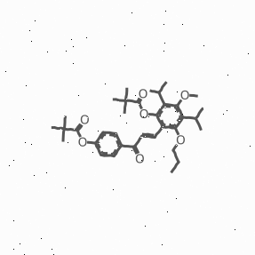 CCCOc1c(C=CC(=O)c2ccc(OC(=O)C(C)(C)C)cc2)c(OC(=O)C(C)(C)C)c(C(C)C)c(OC)c1C(C)C